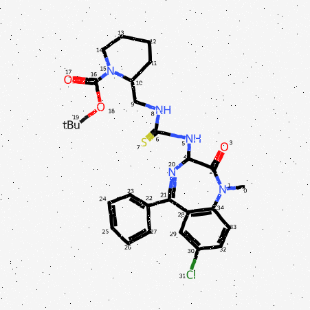 CN1C(=O)C(NC(=S)NCC2CCCCN2C(=O)OC(C)(C)C)N=C(c2ccccc2)c2cc(Cl)ccc21